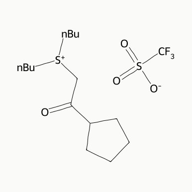 CCCC[S+](CCCC)CC(=O)C1CCCC1.O=S(=O)([O-])C(F)(F)F